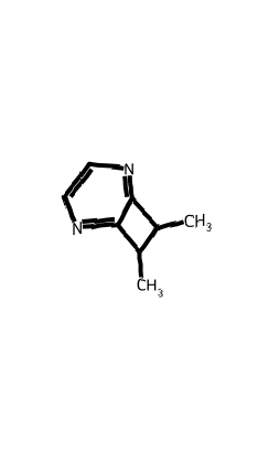 CC1c2nccnc2C1C